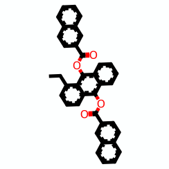 CCc1cccc2c(OC(=O)c3ccc4ccccc4c3)c3ccccc3c(OC(=O)c3ccc4ccccc4c3)c12